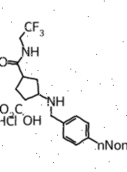 CCCCCCCCCc1ccc(CNC2CCC(C(=O)NCC(F)(F)F)C2)cc1.Cl.O=C(O)O